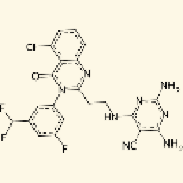 N#Cc1c(N)nc(N)nc1NCCc1nc2cccc(Cl)c2c(=O)n1-c1cc(F)cc(C(F)F)c1